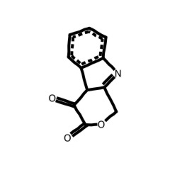 O=C1OCC2=Nc3ccccc3C2C1=O